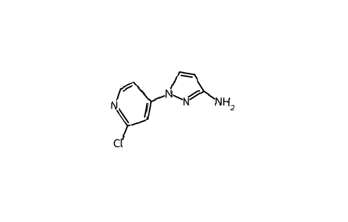 Nc1ccn(-c2ccnc(Cl)c2)n1